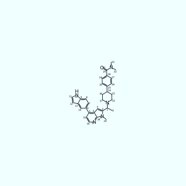 CC(c1cc2c(-c3ccc4[nH]ccc4c3)ccnc2n1C)N1CCC(c2ccc(C(=O)N(C)C)cc2)CC1